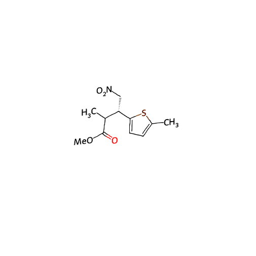 COC(=O)C(C)[C@H](C[N+](=O)[O-])c1ccc(C)s1